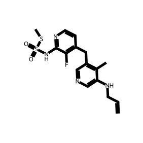 C=CCNc1cncc(Cc2ccnc(NS(=O)(=O)SC)c2F)c1C